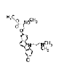 CCOC(=O)/C(COc1ccc2c(ccc3c4cc(Cl)ccc4n(CCCN(C)C)c23)c1)=N/OC